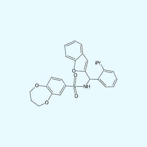 CC(C)c1ccccc1C(NS(=O)(=O)c1ccc2c(c1)OCCCO2)c1cc2ccccc2o1